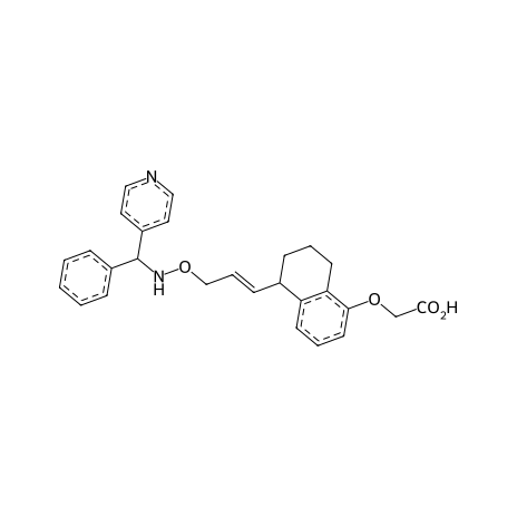 O=C(O)COc1cccc2c1CCCC2C=CCONC(c1ccccc1)c1ccncc1